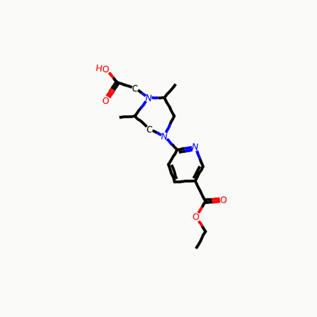 CCOC(=O)c1ccc(N2CC(C)N(CC(=O)O)C(C)C2)nc1